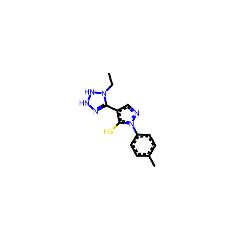 CCN1NNN=C1c1cnn(-c2ccc(C)cc2)c1S